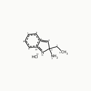 CCC1(N)C=c2ccccc2=N1.Cl